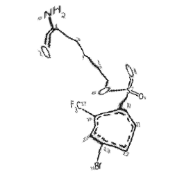 NC(=O)CCCOS(=O)(=O)c1ccc(Br)cc1C(F)(F)F